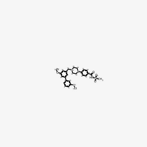 CCOc1cccc(-c2cc(CN3CCN(c4ccc(C(=O)NS(C)(=O)=O)cc4)CC3)cc(OC(C)C)c2)c1